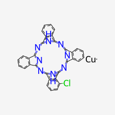 Clc1cccc2c3nc4nc(nc5[nH]c(nc6nc(nc([nH]3)c12)-c1ccccc1-6)c1ccccc51)-c1ccccc1-4.[Cu]